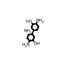 N.Nc1ccc(-c2ccc(N)c(O)c2)cc1O